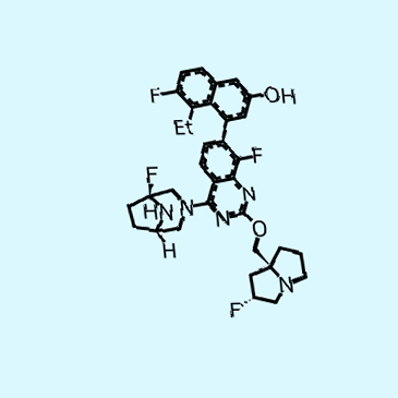 CCc1c(F)ccc2cc(O)cc(-c3ccc4c(N5C[C@@H]6CC[C@](F)(C5)N6)nc(OC[C@@]56CCCN5C[C@H](F)C6)nc4c3F)c12